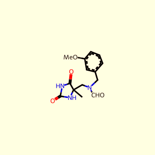 COc1cccc(CN(C=O)CC2(C)NC(=O)NC2=O)c1